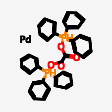 O=C(O[PH](c1ccccc1)(c1ccccc1)c1ccccc1)C(=O)O[PH](c1ccccc1)(c1ccccc1)c1ccccc1.[Pd]